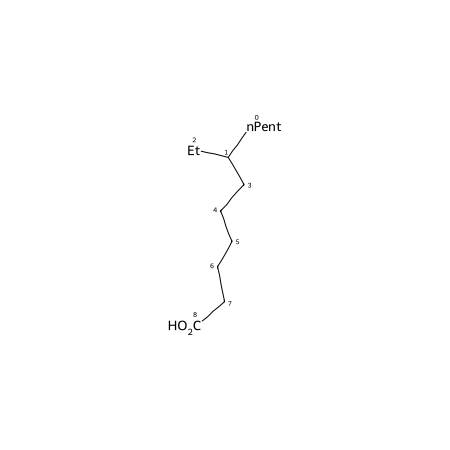 CCCCCC(CC)CCCCCC(=O)O